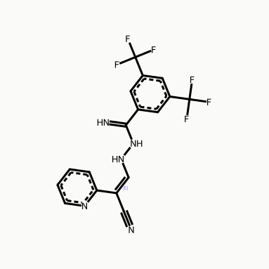 N#C/C(=C/NNC(=N)c1cc(C(F)(F)F)cc(C(F)(F)F)c1)c1ccccn1